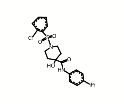 CC(C)c1ccc(NC(=O)C2(O)CCN(S(=O)(=O)c3ccccc3Cl)CC2)cc1